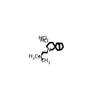 CN(C)CCN1CCCC2(CC3CCC2CC3)C1.Cl.Cl